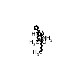 CCCCCC(=O)OC(N)C(=O)C(CCC)NC(=O)C1CCCC1